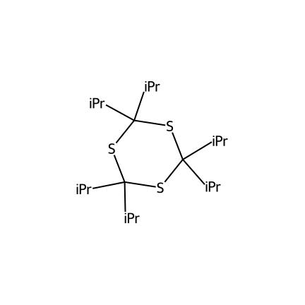 CC(C)C1(C(C)C)SC(C(C)C)(C(C)C)SC(C(C)C)(C(C)C)S1